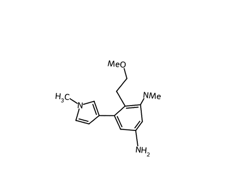 CNc1cc(N)cc(-c2ccn(C)c2)c1CCOC